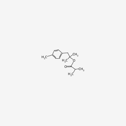 Cc1ccc(CC(C)(C)OC(=O)C(C)C)cc1